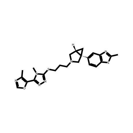 Cc1nc2cc([C@@]34C[C@H]3CN(CCCSc3nnc(-c5ocnc5C)n3C)C4)ccc2s1